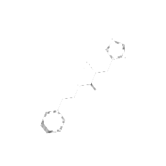 N[C@@H](Cc1c[nH]cn1)C(=O)NCCc1cc#ccc1